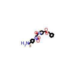 NC(=S)c1ccc(N2CC(C(=O)N3CCC(C(=O)OCc4ccccc4)CC3)OC2=O)cc1